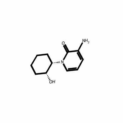 Nc1cccn([C@H]2CCCC[C@H]2O)c1=O